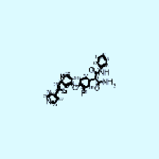 NC(=O)C(C(=O)Nc1ccccc1)c1ccc(Oc2ccnc3cc(-c4ccncc4)sc23)c(F)c1